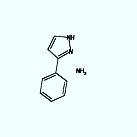 N.c1ccc(-c2cc[nH]n2)cc1